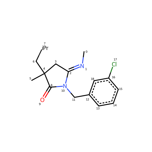 C/N=C1\CC(C)(CC(C)C)C(=O)N1Cc1cccc(Cl)c1